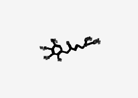 Bc1cc(CC(=O)/C=C/CN(C)C)c(C(C)C)c(B)c1C